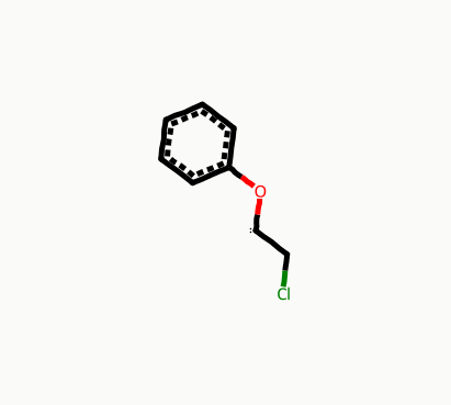 ClC[C]Oc1ccccc1